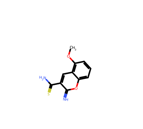 COc1cccc2oc(=N)c(C(N)=S)cc12